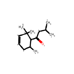 CC(C)CC(=O)C1C(C)CC=CC1(C)C